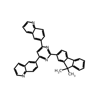 CC1(C)c2ccccc2-c2ccc(-c3nc(-c4ccc5ncccc5c4)cc(-c4ccc5ncccc5c4)n3)cc21